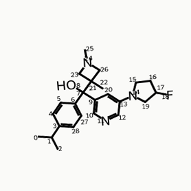 CC(C)c1ccc(C(O)(c2cncc(N3CCC(F)C3)c2)C2(C)CN(C)C2)cc1